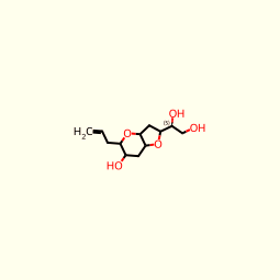 C=CCC1OC2CC([C@@H](O)CO)OC2CC1O